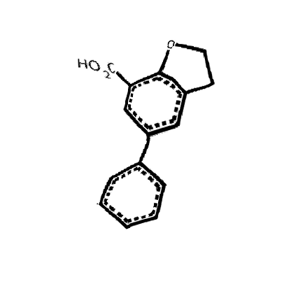 O=C(O)c1cc(-c2c[c]ccc2)cc2c1OCC2